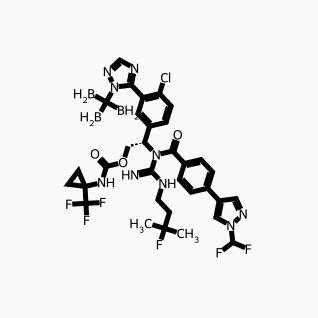 BC(B)(B)n1ncnc1-c1cc([C@@H](COC(=O)NC2(C(F)(F)F)CC2)N(C(=N)NCCC(C)(C)F)C(=O)c2ccc(-c3cnn(C(F)F)c3)cc2)ccc1Cl